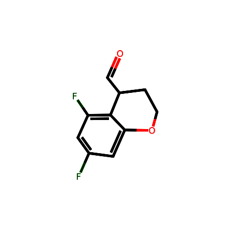 O=CC1CCOc2cc(F)cc(F)c21